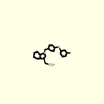 O=C(O)Cc1cn(Cc2ccc(Oc3cccc(F)c3)cc2)c2ccccc12